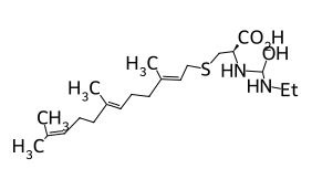 CCNC(O)N[C@@H](CSC/C=C(\C)CC/C=C(\C)CCC=C(C)C)C(=O)O